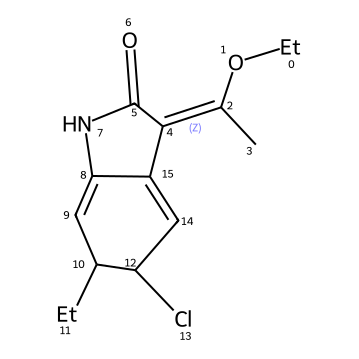 CCO/C(C)=C1\C(=O)NC2=CC(CC)C(Cl)C=C21